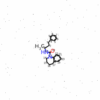 CC(CCc1ccccc1)NC(=O)N1CCCCc2ccccc21